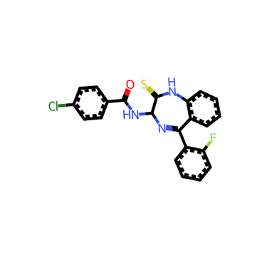 O=C(NC1N=C(c2ccccc2F)c2ccccc2NC1=S)c1ccc(Cl)cc1